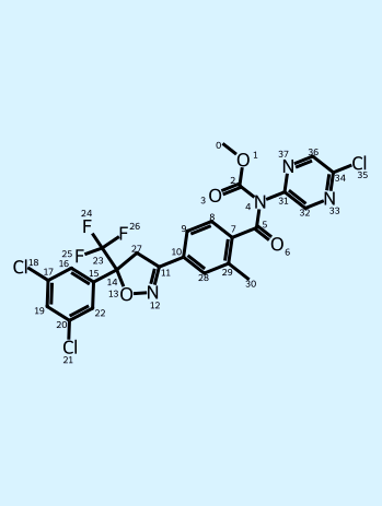 COC(=O)N(C(=O)c1ccc(C2=NOC(c3cc(Cl)cc(Cl)c3)(C(F)(F)F)C2)cc1C)c1cnc(Cl)cn1